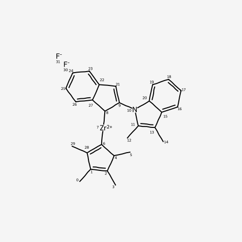 CC1=C(C)C(C)[C]([Zr+2][CH]2C(n3c(C)c(C)c4ccccc43)=Cc3ccccc32)=C1C.[F-].[F-]